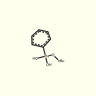 CCCCO[PH](O)(O)c1ccccc1